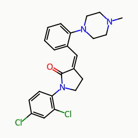 CN1CCN(c2ccccc2C=C2CCN(c3ccc(Cl)cc3Cl)C2=O)CC1